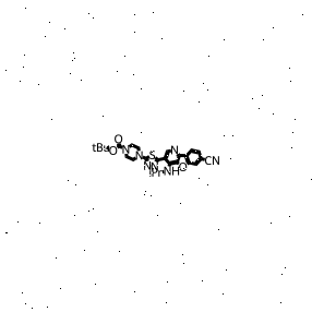 CC(C)Nc1c(-c2nnc(N3CCN(C(=O)OC(C)(C)C)CC3)s2)cnc2c1oc1cc(C#N)ccc12